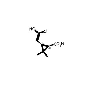 CC1(C)[C@H](C(=O)O)[C@@H]1C=C(Cl)C#N